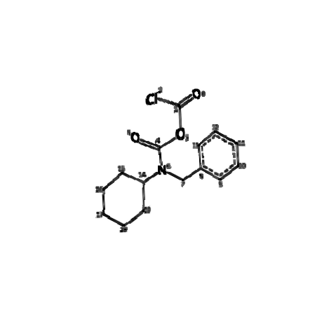 O=C(Cl)OC(=O)N(Cc1ccccc1)C1CCCCC1